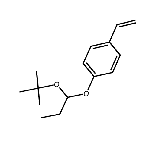 C=Cc1ccc(OC(CC)OC(C)(C)C)cc1